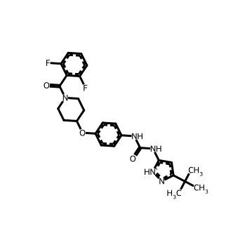 CC(C)(C)c1cc(NC(=O)Nc2ccc(OC3CCN(C(=O)c4c(F)cccc4F)CC3)cc2)[nH]n1